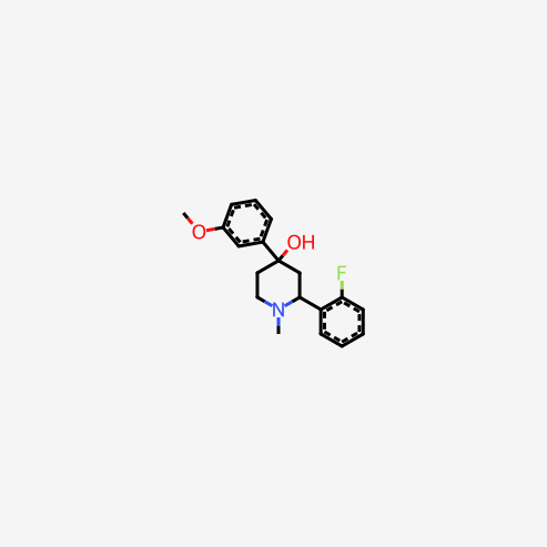 COc1cccc(C2(O)CCN(C)C(c3ccccc3F)C2)c1